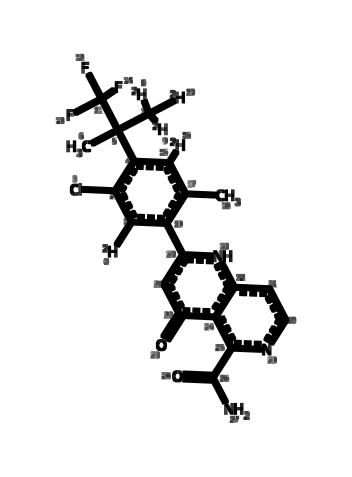 [2H]c1c(Cl)c(C(C)(C([2H])([2H])[2H])C(F)(F)F)c([2H])c(C)c1-c1cc(=O)c2c(C(N)=O)nccc2[nH]1